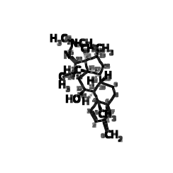 C=C1C=C[C@@]2(C)C(=C1)CC[C@@H]1[C@@H]2[C@@H](O)C[C@@]2(C)[C@H]1C[C@@H](C)[C@]2(C)/C(CC)=N\N(C)C